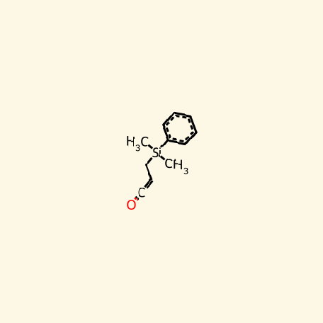 C[Si](C)(CC=C=O)c1ccccc1